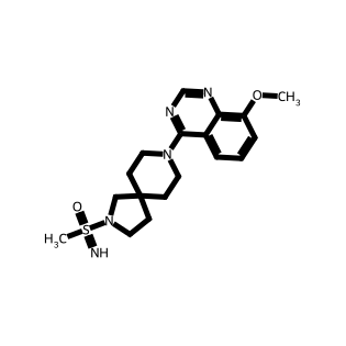 COc1cccc2c(N3CCC4(CC3)CCN(S(C)(=N)=O)C4)ncnc12